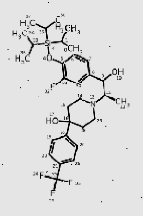 CC(C)[Si](Oc1ccc(C(O)[C@@H](C)N2CCC(O)(c3ccc(C(F)(F)F)cc3)CC2)cc1F)(C(C)C)C(C)C